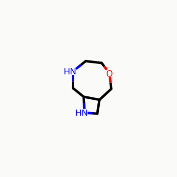 C1COCC2CNC2CN1